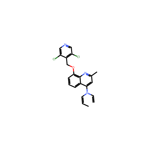 C=CN(/C=C\C)c1cc(C)nc2c(OCc3c(Cl)cncc3Cl)cccc12